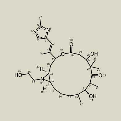 C/C(=C\c1csc(C)n1)C1C[C@H]2[C@@H](CCCC(C)[C@H](O)C(C)C(=O)C(C)(C)C(O)CC(=O)O1)N2CCO